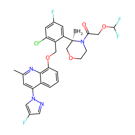 B[C@@]1(c2cc(F)cc(Cl)c2COc2cccc3c(-n4cc(F)cn4)cc(C)nc23)COCCN1C(=O)COC(F)F